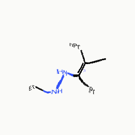 CCC/C(C)=C(\NNCC)C(C)C